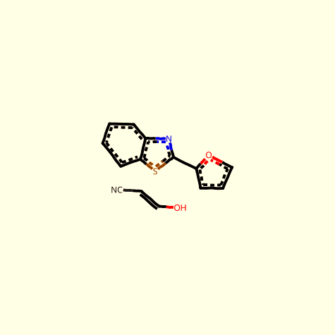 N#CC=CO.c1coc(-c2nc3ccccc3s2)c1